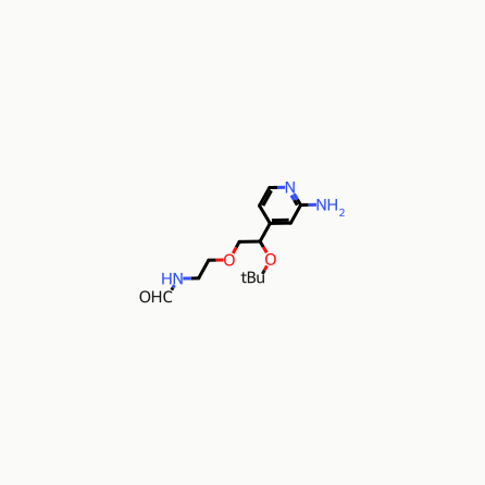 CC(C)(C)OC(COCCNC=O)c1ccnc(N)c1